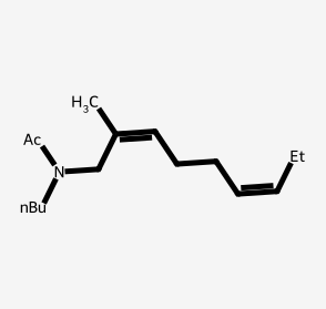 CC/C=C\CC/C=C(/C)CN(CCCC)C(C)=O